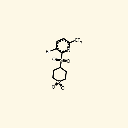 O=S1(=O)CCC(S(=O)(=O)c2nc(C(F)(F)F)ccc2Br)CC1